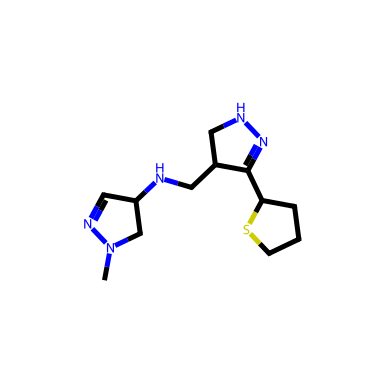 CN1CC(NCC2CNN=C2C2CCCS2)C=N1